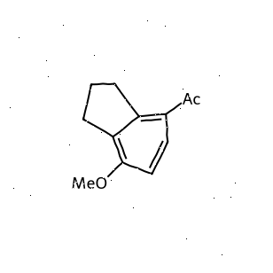 COc1ccc(C(C)=O)c2c1CCC2